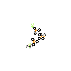 F[B-](F)(F)F.F[B-](F)(F)F.N#CC[PH](c1ccccc1)(c1ccccc1)c1ccccc1.[Pd+2].c1ccc(P(c2ccccc2)c2ccccc2)cc1.c1ccc(P(c2ccccc2)c2ccccc2)cc1